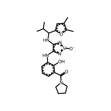 Cc1cc(C(Nc2n[s+]([O-])nc2Nc2cccc(C(=O)N3CCCC3)c2O)C(C)C)oc1C